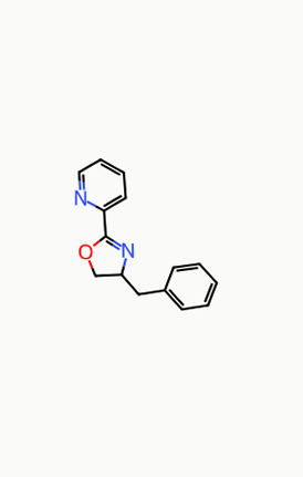 c1ccc(CC2COC(c3ccccn3)=N2)cc1